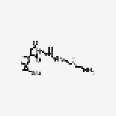 CC(CC1(C)CC1C(C)(C)C)C1CC(=O)N(CCNCCNCCNCCN)C1=O